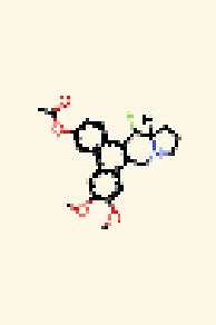 COc1cc2c3c(c4ccc(OC(C)=O)cc4c2cc1OC)C(F)[C@@H]1CCCN1C3